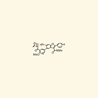 C=C(CC)NC(=O)c1cc(-c2cc3c(C(=O)NC)c(-c4ccc(F)cc4)oc3cc2CCC)cnc1OC